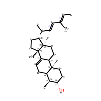 C/C=C(/C=C/C(C)[C@H]1CC[C@H]2C3=CCC4[C@H](C)[C@@H](O)CC[C@]4(C)C3CC[C@]12C)C(C)C